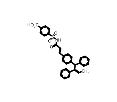 CC=C(c1ccccc1)C(c1ccccc1)c1ccc(C=CC(=O)NS(=O)(=O)c2ccc(C(=O)O)cc2)cc1